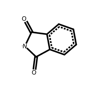 O=C1[N]C(=O)c2ccccc21